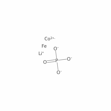 O=P([O-])([O-])[O-].[Co+2].[Fe].[Li+]